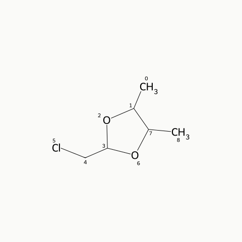 CC1OC(CCl)OC1C